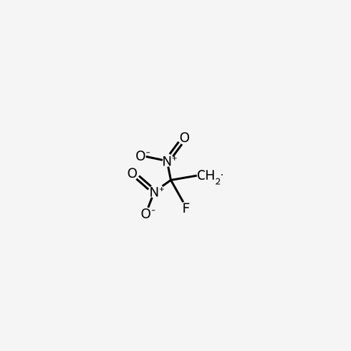 [CH2]C(F)([N+](=O)[O-])[N+](=O)[O-]